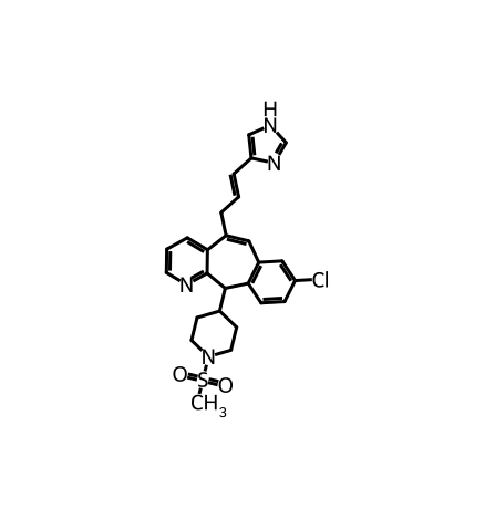 CS(=O)(=O)N1CCC(C2c3ccc(Cl)cc3C=C(C/C=C/c3c[nH]cn3)c3cccnc32)CC1